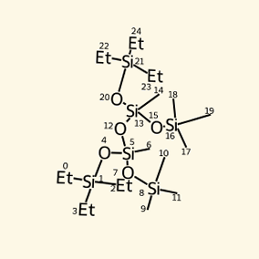 CC[Si](CC)(CC)O[Si](C)(O[Si](C)(C)C)O[Si](C)(O[Si](C)(C)C)O[Si](CC)(CC)CC